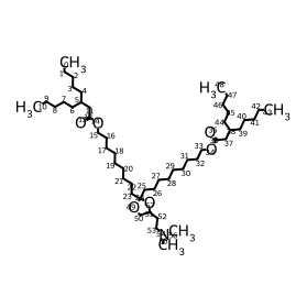 CCCCCC(CCCCC)CC(=O)OCCCCCCCCCC1(CCCCCCCCCOC(=O)CC(CCCCC)CCCCC)OCC(CCN(C)C)O1